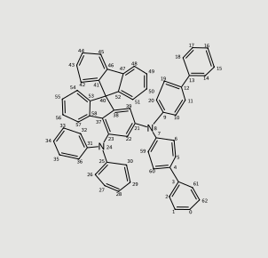 c1ccc(-c2ccc(N(c3ccc(-c4ccccc4)cc3)c3cc(N(c4ccccc4)c4ccccc4)c4c(c3)C3(c5ccccc5-c5ccccc53)c3ccccc3-4)cc2)cc1